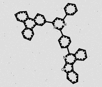 c1ccc(-c2cc(-c3ccc4c5ccccc5c5ccccc5c4c3)nc(-c3ccc(-c4nc5oc6ccccc6c5c5ccccc45)cc3)n2)cc1